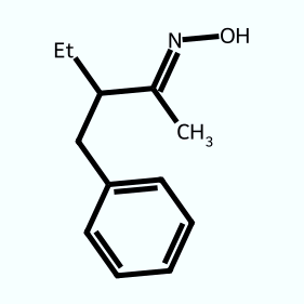 CCC(Cc1ccccc1)/C(C)=N/O